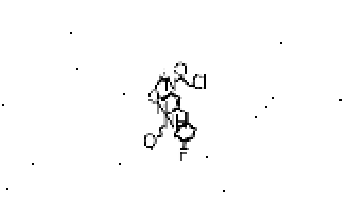 COCCNc1nc2c(cc1Cc1ccc(F)cc1)N(C(=O)CCl)[C@@H](C)CO2